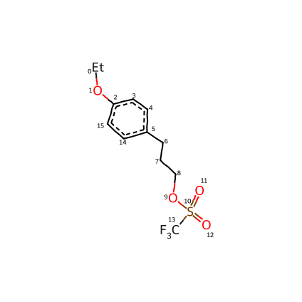 CCOc1ccc(CCCOS(=O)(=O)C(F)(F)F)cc1